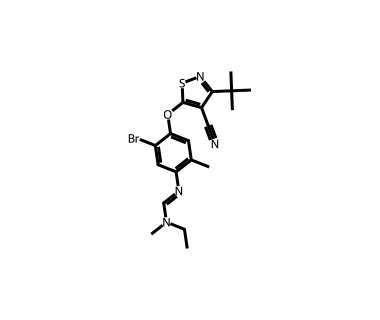 CCN(C)C=Nc1cc(Br)c(Oc2snc(C(C)(C)C)c2C#N)cc1C